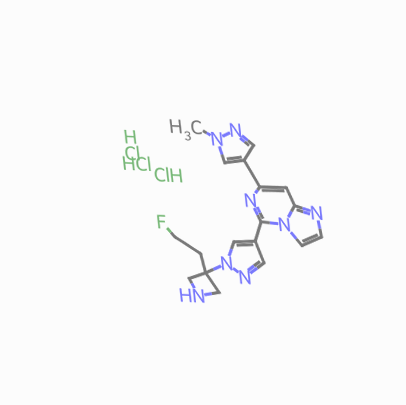 Cl.Cl.Cl.Cn1cc(-c2cc3nccn3c(-c3cnn(C4(CCF)CNC4)c3)n2)cn1